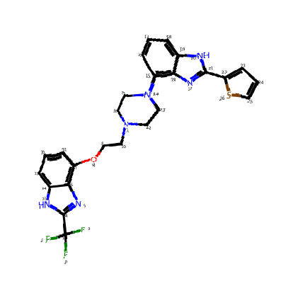 FC(F)(F)c1nc2c(OCCN3CCN(c4cccc5[nH]c(-c6cccs6)nc45)CC3)cccc2[nH]1